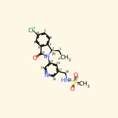 CC[C@@H]1c2ccc(Cl)cc2C(=O)N1c1cncc(CNS(C)(=O)=O)c1